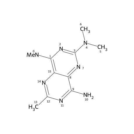 CNc1nc(N(C)C)nc2c(N)nc(C)nc12